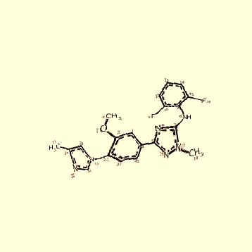 COc1cc(-c2nc(Nc3c(F)cccc3F)n(C)n2)ccc1-n1cnc(C)c1